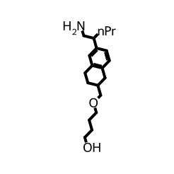 CCCC(CN)c1ccc2c(c1)CCC(COCCCCO)C2